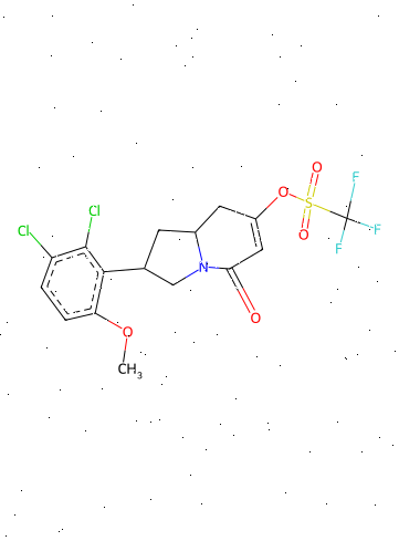 COc1ccc(Cl)c(Cl)c1C1CC2CC(OS(=O)(=O)C(F)(F)F)=CC(=O)N2C1